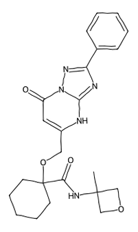 CC1(NC(=O)C2(OCc3cc(=O)n4nc(-c5ccccc5)nc4[nH]3)CCCCC2)COC1